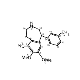 COc1cc2c(c(C#N)c1OC)CCNCC2c1cccc(C)c1